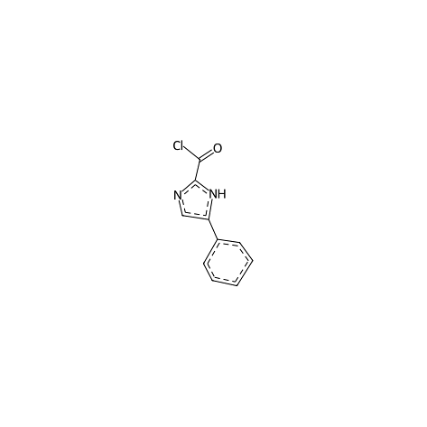 O=C(Cl)c1ncc(-c2ccccc2)[nH]1